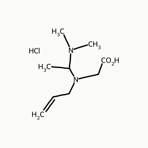 C=CCN(CC(=O)O)C(C)N(C)C.Cl